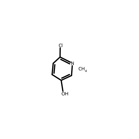 C.Oc1ccc(Cl)nc1